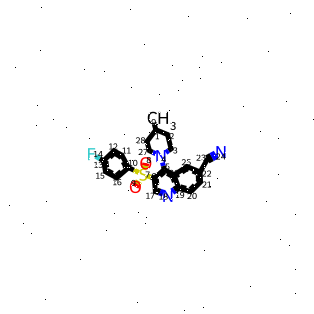 CC1CCN(c2c(S(=O)(=O)c3ccc(F)cc3)cnc3ccc(C#N)cc23)CC1